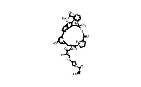 CCn1c(-c2cccnc2[C@H](C)OC)c2c3cc(ccc31)-c1cc(O)cc(c1)C[C@H](NC(=O)[C@@H](COC1CN(C(=O)[C@H]3CN3)C1)C(C)C)C(=O)N1CCC[C@H](N1)C(=O)OCC(C)(C)C2